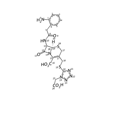 Nc1ccccc1CC(=O)NC1C(=O)N2C(C(=O)O)=C(CSc3nnnn3CC(=O)O)CS[C@H]12